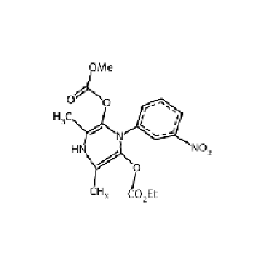 CCOC(=O)OC1=C(C)NC(C)=C(OC(=O)OC)N1c1cccc([N+](=O)[O-])c1